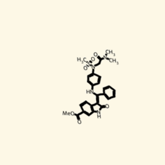 COC(=O)c1ccc2c(c1)NC(=O)C2=C(Nc1ccc(N(CC(=O)N(C)C)S(C)(=O)=O)cc1)c1ccccc1